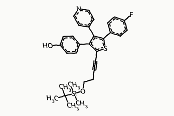 CC(C)(C)[Si](C)(C)OCCC#Cc1sc(-c2ccc(F)cc2)c(-c2ccncc2)c1-c1ccc(O)cc1